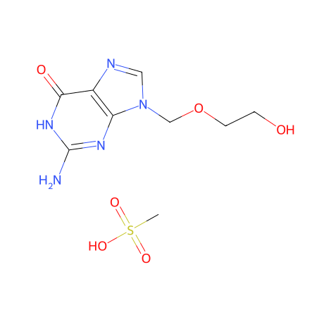 CS(=O)(=O)O.Nc1nc2c(ncn2COCCO)c(=O)[nH]1